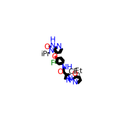 CCOc1cccnc1-n1ncc(C2OC2Nc2ccc(Oc3ccnc4[nH]c(=O)n(C(C)C)c34)c(F)c2)c1C(F)(F)F